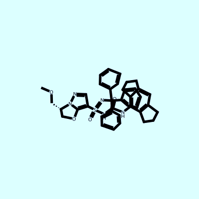 COC[C@H]1COc2c(S(=O)(=NC(c3ccccc3)(c3ccccc3)c3ccccc3)NC(=O)Nc3c4c(cc5c3CCC5)CCC4)cnn21